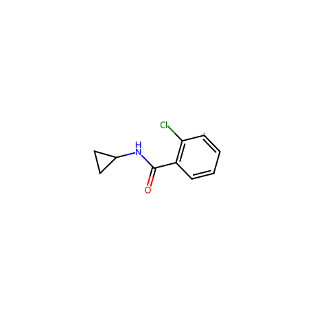 O=C(NC1CC1)c1ccc[c]c1Cl